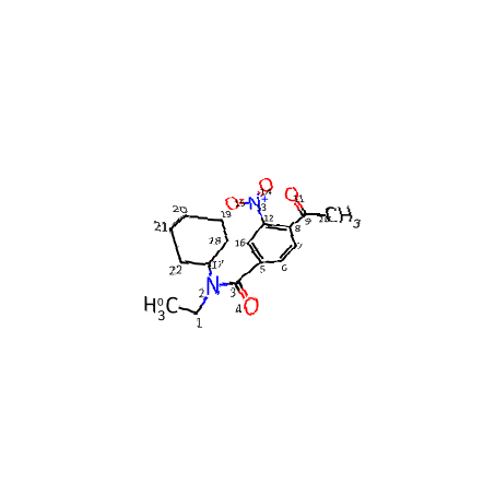 CCN(C(=O)c1ccc(C(C)=O)c([N+](=O)[O-])c1)C1CCCCC1